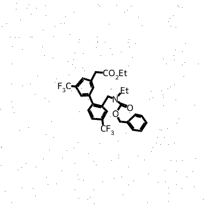 CCOC(=O)Cc1cc(-c2ccc(C(F)(F)F)cc2CN(CC)C(=O)OCc2ccccc2)cc(C(F)(F)F)c1